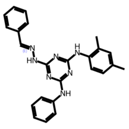 Cc1ccc(Nc2nc(N/N=C/c3ccccc3)nc(Nc3ccccc3)n2)c(C)c1